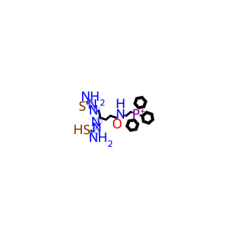 N/C([S-])=N/N=C/C(CCC(=O)NCC[P+](c1ccccc1)(c1ccccc1)c1ccccc1)=N/N=C(/N)S